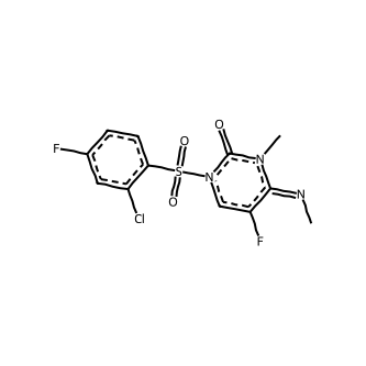 C/N=c1\c(F)cn(S(=O)(=O)c2ccc(F)cc2Cl)c(=O)n1C